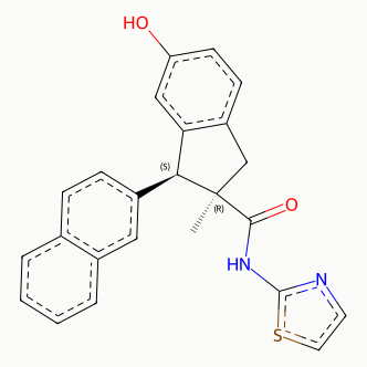 C[C@@]1(C(=O)Nc2nccs2)Cc2ccc(O)cc2[C@@H]1c1ccc2ccccc2c1